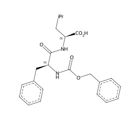 CC(C)C[C@H](NC(=O)[C@H](Cc1ccccc1)NC(=O)OCc1ccccc1)C(=O)O